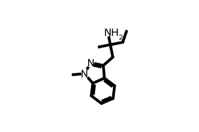 CCC(C)(N)Cc1nn(C)c2ccccc12